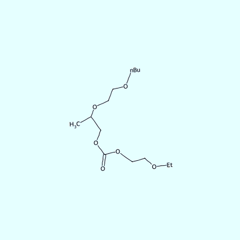 CCCCOCCOC(C)COC(=O)OCCOCC